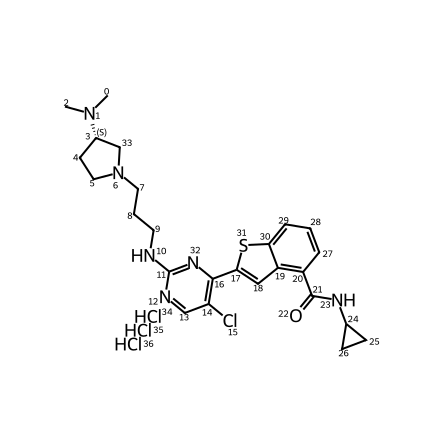 CN(C)[C@H]1CCN(CCCNc2ncc(Cl)c(-c3cc4c(C(=O)NC5CC5)cccc4s3)n2)C1.Cl.Cl.Cl